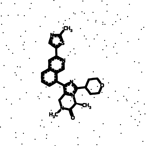 Cc1ncc(-c2cc3cccc(-c4nc(C5CCOCC5)n5c4CN(C)C(=O)[C@@H]5C)c3cn2)s1